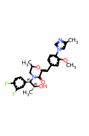 COc1cc(C=C2OC(C)CN([C@H](c3ccc(F)c(F)c3)[C@@H](C)O)C2=O)ccc1-n1cnc(C)c1